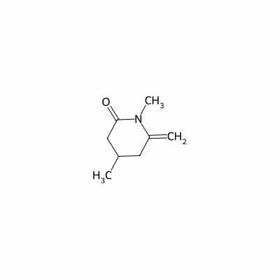 C=C1CC(C)CC(=O)N1C